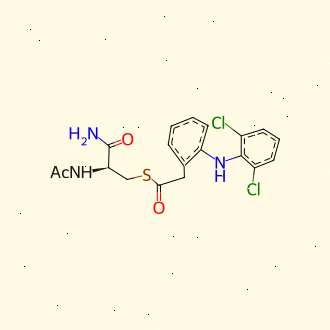 CC(=O)N[C@H](CSC(=O)Cc1ccccc1Nc1c(Cl)cccc1Cl)C(N)=O